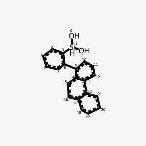 O[SiH](O)c1ccccc1-c1cccc2c1ccc1ccccc12